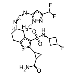 Cn1nc(C(F)F)cc1N=C=N[C@H]1CCc2sc(C3CC3C(N)=O)c(S(=O)(=O)N[C@H]3C[C@@H](F)C3)c2C1